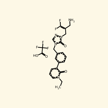 CCn1cccc(-c2cccc(Cn3cnn(CC(CN)=C(F)F)c3=O)c2)c1=O.O=C(O)C(F)(F)F